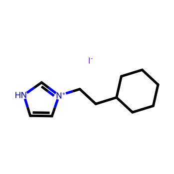 [I-].c1c[n+](CCC2CCCCC2)c[nH]1